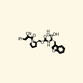 CC(C)C=C(C#N)C(=O)N1CCC[C@@H]1COC(=O)N[C@@H](Cc1coc2ccccc12)B(O)O